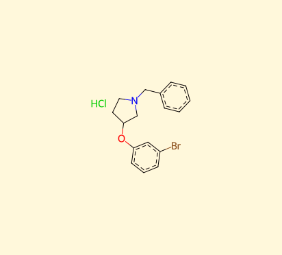 Brc1cccc(OC2CCN(Cc3ccccc3)C2)c1.Cl